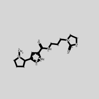 CN1CCCC1c1cc(C(=O)NCCCN2CCOC2=O)[nH]n1